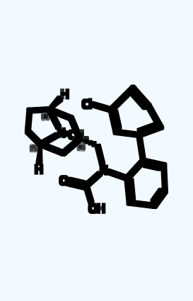 CN1[C@@H]2CC[C@H]1C[C@@H](CN(C(=O)O)c1ccccc1-c1cccc(Cl)c1)C2